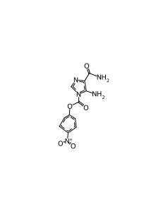 NC(=O)c1ncn(C(=O)Oc2ccc([N+](=O)[O-])cc2)c1N